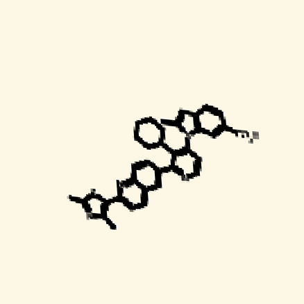 Cc1nc(C)c(-c2ccc3cc(-c4nccc(-n5c(C)cc6ccc(C(=O)O)cc65)c4C4CCCCC4)ccc3n2)s1